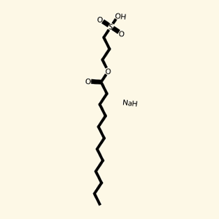 CCCCCCCCCCCC(=O)OCCCS(=O)(=O)O.[NaH]